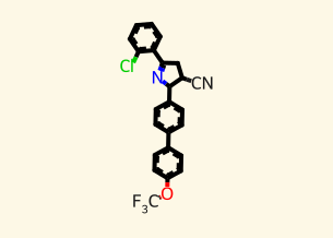 N#CC1CC(c2ccccc2Cl)=NC1c1ccc(-c2ccc(OC(F)(F)F)cc2)cc1